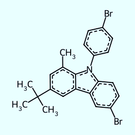 Cc1cc(C(C)(C)C)cc2c3cc(Br)ccc3n(-c3ccc(Br)cc3)c12